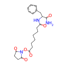 NC(=O)C(Cc1ccccc1)NC(=O)CCCCCCC(=O)ON1C(=O)CCC1=O